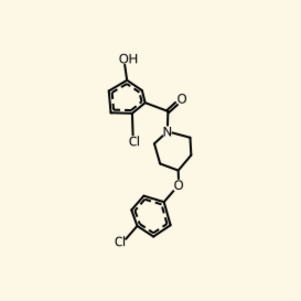 O=C(c1cc(O)ccc1Cl)N1CCC(Oc2ccc(Cl)cc2)CC1